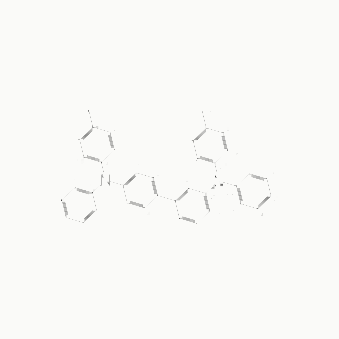 Cc1ccc(N(c2ccccc2)c2ccc(-c3cccc(N(c4ccccc4)c4ccc(C)cc4)c3)cc2)cc1